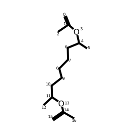 C=C(C)OC(C)CCCCCC(C)OC(=C)C